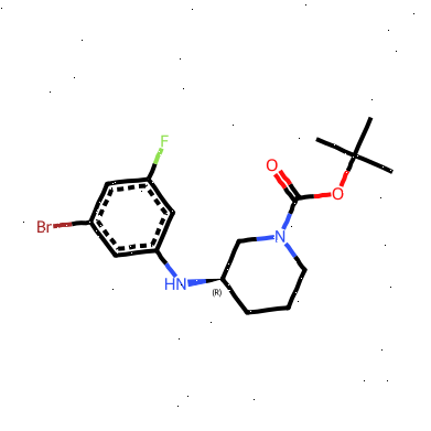 CC(C)(C)OC(=O)N1CCC[C@@H](Nc2cc(F)cc(Br)c2)C1